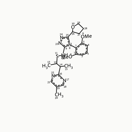 COc1cccc(OC)c1-n1c(NSC(C)C(C)c2ncc(C)cn2)nnc1C1CCCO1